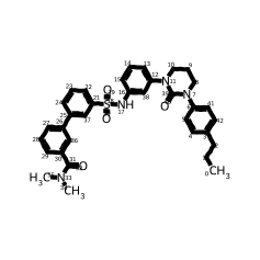 CCCc1ccc(N2CCCN(c3cccc(NS(=O)(=O)c4cccc(-c5cccc(C(=O)N(C)C)c5)c4)c3)C2=O)cc1